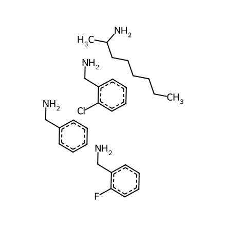 CCCCCCC(C)N.NCc1ccccc1.NCc1ccccc1Cl.NCc1ccccc1F